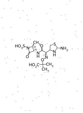 C[C@H]1[C@H](NC(=O)/C(=N\OC(C)(C)C(=O)O)C2CSC(N)N2)C(=O)N1S(=O)(=O)O